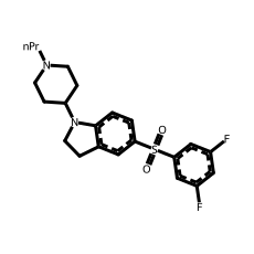 CCCN1CCC(N2CCc3cc(S(=O)(=O)c4cc(F)cc(F)c4)ccc32)CC1